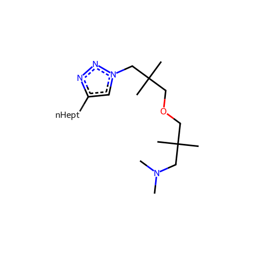 CCCCCCCc1cn(CC(C)(C)COCC(C)(C)CN(C)C)nn1